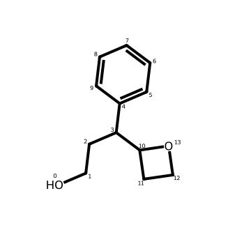 OCCC(c1ccccc1)C1CCO1